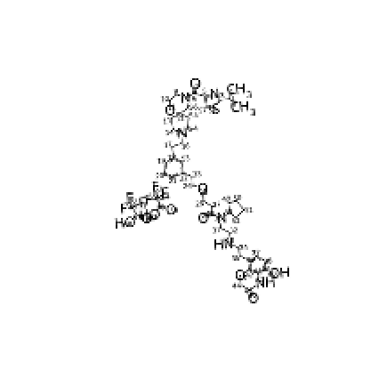 CC(C)c1nc(C(=O)N2CCOC3(CCN(CCc4cccc(CCOCCC(=O)N(CCNCCc5ccc(O)c6c5OCC(=O)N6)C5CCCC5)c4)CC3)C2)cs1.O=C(O)C(F)(F)F.O=C(O)C(F)(F)F